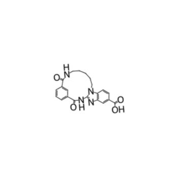 O=C(O)c1ccc2c(c1)nc1n2CCCCCNC(=O)c2cccc(c2)C(=O)N1